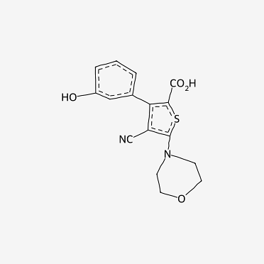 N#Cc1c(N2CCOCC2)sc(C(=O)O)c1-c1cccc(O)c1